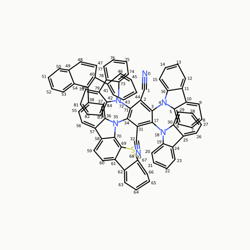 N#Cc1c(-n2c3ccccc3c3ccccc32)c(-n2c3ccccc3c3ccccc32)c(C#N)c(-n2c3cc(-c4c(-c5ccccc5)ccc5ccccc45)ccc3c3ccc4c5ccccc5sc4c32)c1-n1c2ccccc2c2ccccc21